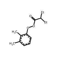 CCC(CC)C(=O)OOc1cccc(C)c1C